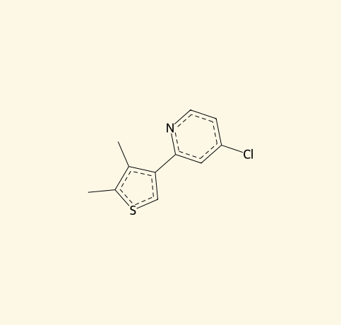 Cc1scc(-c2cc(Cl)ccn2)c1C